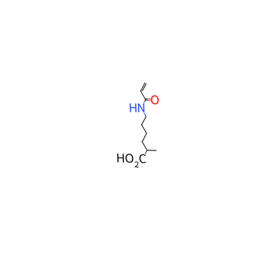 C=CC(=O)NCCCCC(C)C(=O)O